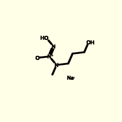 CN(CCCO)[N+]([O-])=NO.[Na]